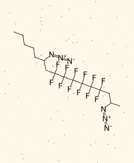 CCCCCC(CC(F)(F)C(F)(F)C(F)(F)C(F)(F)C(F)(F)C(F)(F)CC(C)N=[N+]=[N-])N=[N+]=[N-]